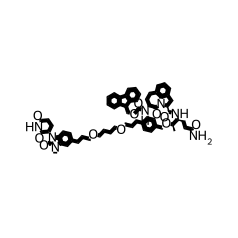 C[C@@H](OCc1ccc(CCCOCCCCOCCCc2ccc3c(c2)n(C)c(=O)n3C2CCC(=O)NC2=O)cc1)[C@H](CCC(N)=O)NC(=O)[C@@H]1Cc2cccc3c2N1C(=O)[C@@H](NC(=O)OCC1c2ccccc2-c2ccccc21)CC3